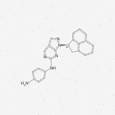 Nc1ccc(Nc2ncc3cnn([C@@H]4Cc5cccc6cccc4c56)c3n2)cc1